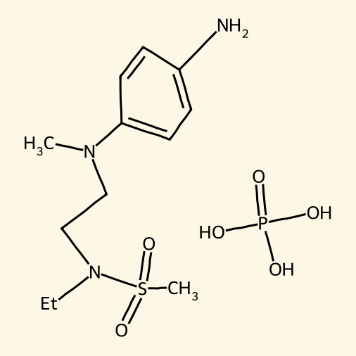 CCN(CCN(C)c1ccc(N)cc1)S(C)(=O)=O.O=P(O)(O)O